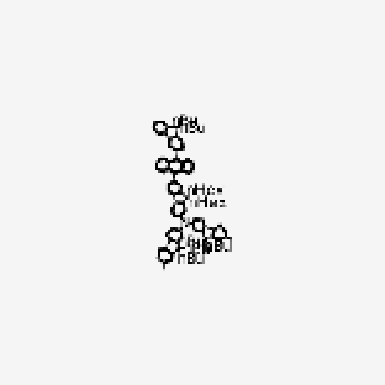 CCCCCCC1(CCCCCC)c2cc(-c3c4ccccc4c(-c4ccc5c(c4)-c4ccccc4C5(CCCC)CCCC)c4ccccc34)ccc2-c2ccc(N(c3ccc4c(c3)C(CCCC)(CCCC)c3cc(C)ccc3-4)c3ccc4c(c3)C(CCCC)(CCCC)c3cc(C)ccc3-4)cc21